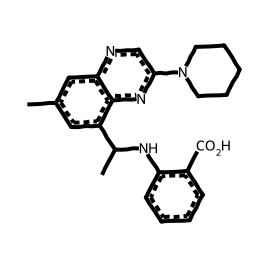 Cc1cc(C(C)Nc2ccccc2C(=O)O)c2nc(N3CCCCC3)cnc2c1